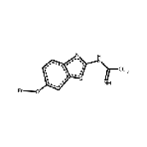 CCOc1ccc2nc(NC(=N)C(Cl)(Cl)Cl)sc2c1